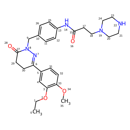 CCOc1cc(C2=NN(Cc3ccc(NC(=O)CCN4CCNCC4)cc3)C(=O)CC2)ccc1OC